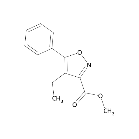 CCc1c(C(=O)OC)noc1-c1ccccc1